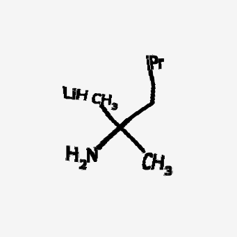 CC(C)CC(C)(C)N.[LiH]